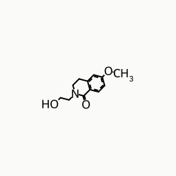 COc1ccc2c(c1)CCN(CCO)C2=O